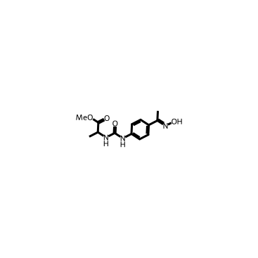 COC(=O)C(C)NC(=O)Nc1ccc(/C(C)=N/O)cc1